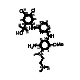 COc1cc(N(C)CCN(C)C)c(N)cc1Nc1ncnc(Nc2cc(Cl)c(Cl)cc2C(C)(C)O)n1